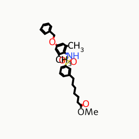 COC(=O)CCCCCCc1cccc(S(=O)(=O)Nc2c(C)cc(OCc3ccccc3)cc2C)c1